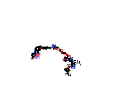 Cc1ncc(NC(=O)c2cccc(C(F)(F)F)c2)cc1-c1cnc(OCCOCCOCCOCc2cn(CCCCCCCOc3ccc4c(c3)C(=O)N(C3CCC(=O)NC3=O)C4)nn2)c(N2CCOCC2)c1